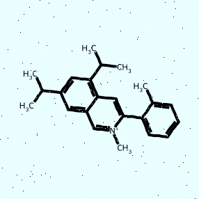 Cc1ccccc1-c1cc2c(C(C)C)cc(C(C)C)cc2c[n+]1C